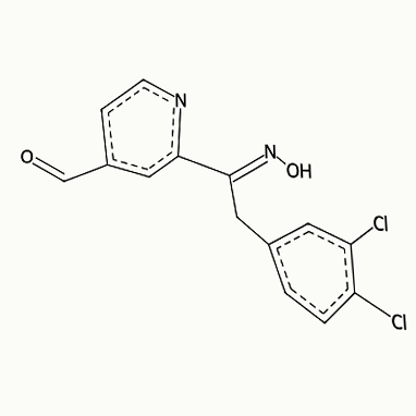 O=Cc1ccnc(/C(Cc2ccc(Cl)c(Cl)c2)=N/O)c1